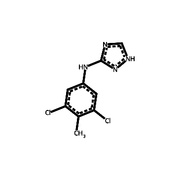 Cc1c(Cl)cc(Nc2nc[nH]n2)cc1Cl